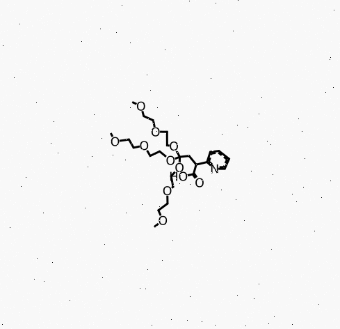 COCCOCCOC(CC(C(=O)O)c1ccccn1)(OCCOCCOC)OCCOCCOC